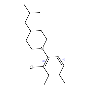 CC/C=C\C(=C(\Cl)CC)N1CCC(CC(C)C)CC1